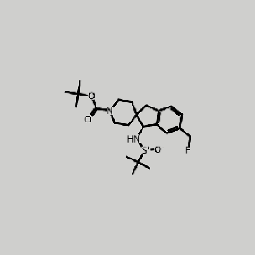 CC(C)(C)OC(=O)N1CCC2(CC1)Cc1ccc(CF)cc1[C@H]2N[S+]([O-])C(C)(C)C